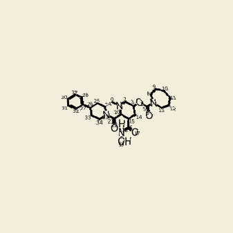 CN1CC(OC(=O)N2CCCCCC2)CC(C(=O)NO)C1C(=O)N1CCC(c2ccccc2)CC1